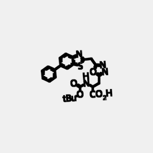 CC(C)(C)OC(=O)NC(Cc1nnc(Cc2nc3ccc(-c4ccccc4)cc3s2)o1)C(=O)O